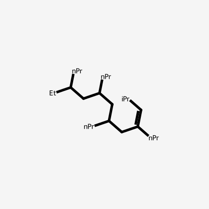 CCCC(=CC(C)C)CC(CCC)CC(CCC)CC(CC)CCC